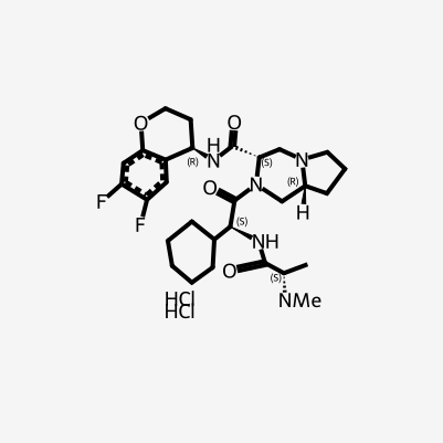 CN[C@@H](C)C(=O)N[C@H](C(=O)N1C[C@H]2CCCN2C[C@H]1C(=O)N[C@@H]1CCOc2cc(F)c(F)cc21)C1CCCCC1.Cl.Cl